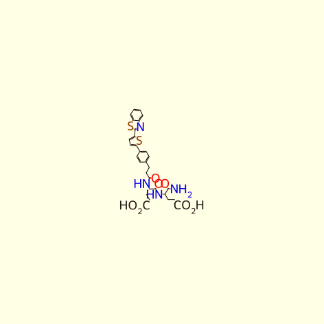 NC(=O)C(CCC(=O)O)NC(=O)[C@H](CCC(=O)O)NC(=O)CCc1ccc(-c2ccc(-c3nc4ccccc4s3)s2)cc1